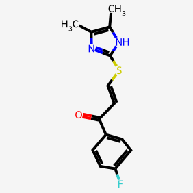 Cc1nc(S/C=C/C(=O)c2ccc(F)cc2)[nH]c1C